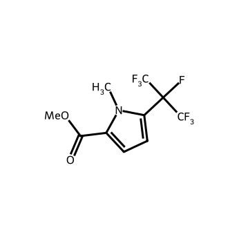 COC(=O)c1ccc(C(F)(C(F)(F)F)C(F)(F)F)n1C